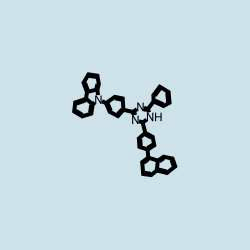 c1ccc(C2=NC(c3ccc(-n4c5ccccc5c5ccccc54)cc3)=NC(c3ccc(-c4cccc5ccccc45)cc3)N2)cc1